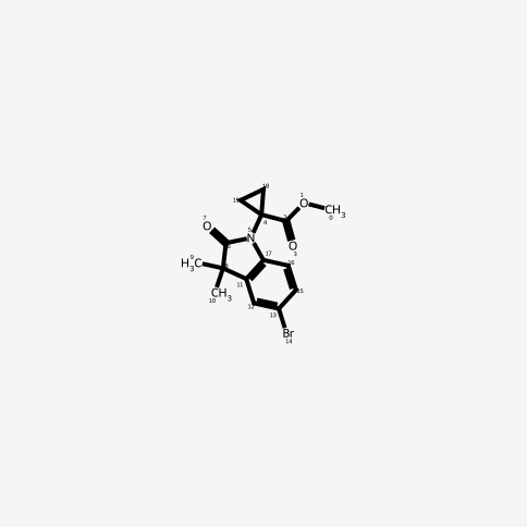 COC(=O)C1(N2C(=O)C(C)(C)c3cc(Br)ccc32)CC1